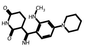 CNc1cc(N2CCCCC2)ccc1C(=N)C1CCC(=O)NC1=O